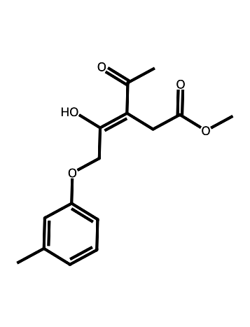 COC(=O)C/C(C(C)=O)=C(/O)COc1cccc(C)c1